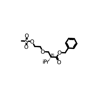 CC(C)[C@H](COCCOS(C)(=O)=O)C(=O)OCc1ccccc1